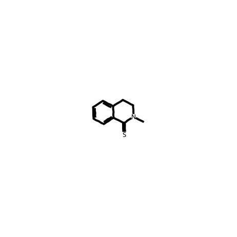 CN1CCc2ccccc2C1=S